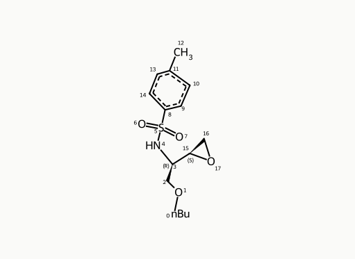 CCCCOC[C@@H](NS(=O)(=O)c1ccc(C)cc1)[C@H]1CO1